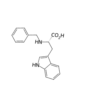 O=C(O)[C@H](Cc1c[nH]c2ccccc12)NCc1ccccc1